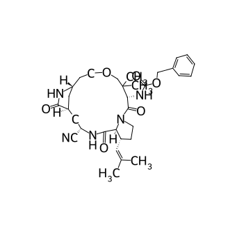 CC(C)=C[C@H]1CCN2C(=O)[C@@H](NC(=O)OCc3ccccc3)C(C)(C)COCC[C@@H]3C[C@@H](C[C@@H](C#N)NC(=O)[C@H]12)C(=O)N3